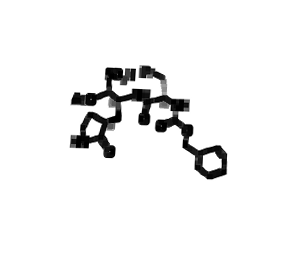 CC(=O)OC([C@H](C[C@@H]1CCNC1=O)NC(=O)[C@H](CC(C)C)NC(=O)OCc1ccccc1)S(=O)(=O)O